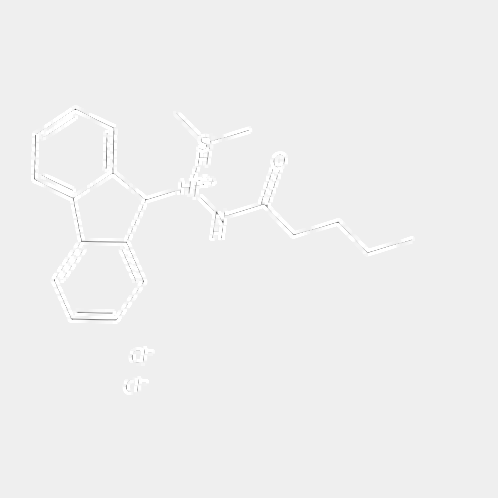 CCCCC(=O)[NH][Hf+2]([CH]1c2ccccc2-c2ccccc21)[SiH](C)C.[Cl-].[Cl-]